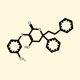 Cc1cccc(SC2=C(O)CC(CCc3ccccc3)(c3ccccc3)OC2=O)c1